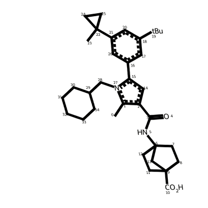 Cc1c(C(=O)NC23CCC(C(=O)O)(CC2)C3)cc(-c2cc(C(C)(C)C)cc(C3(C)CC3)c2)n1CC1CCCCC1